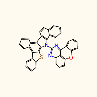 c1ccc2c(c1)Oc1cccc3nc(-n4c5c6ccccc6ccc5c5c6ccccc6c6c7ccccc7sc6c54)nc-2c13